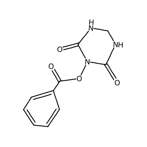 O=C(ON1C(=O)NCNC1=O)c1ccccc1